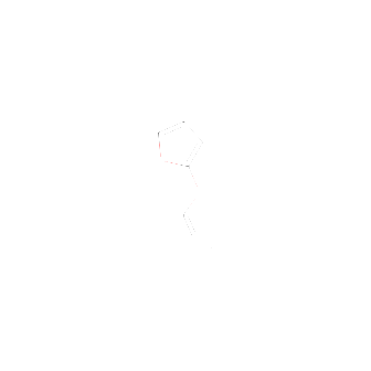 C=COc1ccco1